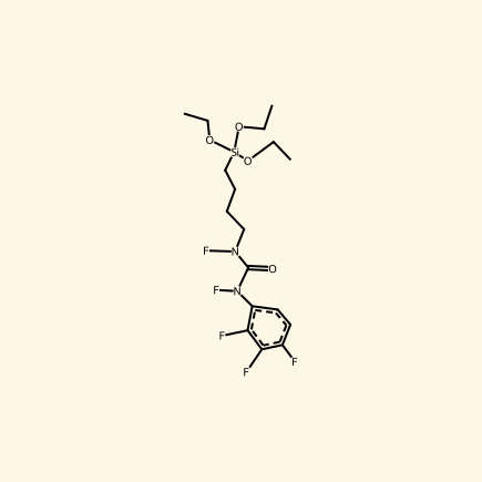 CCO[Si](CCCCN(F)C(=O)N(F)c1ccc(F)c(F)c1F)(OCC)OCC